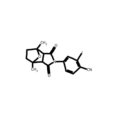 CC12CCC(C)(O1)C1C(=O)N(c3ccc(C#N)c(I)c3)C(=O)C12